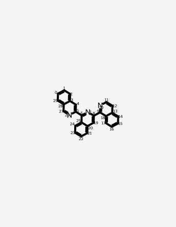 c1ccc2cc(-c3nc(-c4nccc5ccccc45)cc4ccccc34)ncc2c1